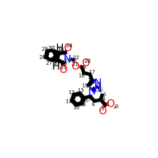 COC(=O)C(C)CC(c1ccccc1)n1cc(CCC(=O)OCN2C(=O)[C@@H]3C4C=CC(C4)[C@@H]3C2=O)nn1